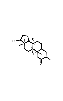 CC1CC2CC[C@@H]3[C@@H](CC[C@]4(C)C(O)CC[C@@H]34)[C@@]2(C)CC1=O